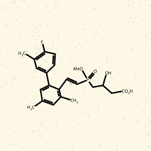 COP(=O)(/C=C/c1c(C)cc(C)cc1-c1ccc(F)c(C)c1)CC(O)CC(=O)O